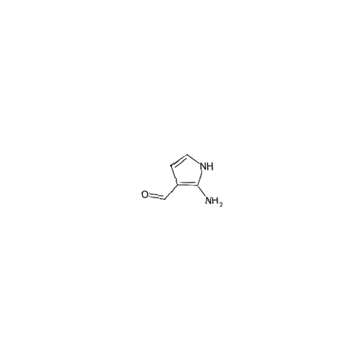 Nc1[nH]ccc1C=O